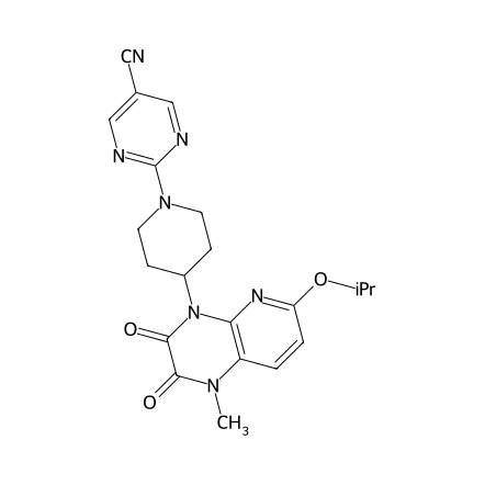 CC(C)Oc1ccc2c(n1)n(C1CCN(c3ncc(C#N)cn3)CC1)c(=O)c(=O)n2C